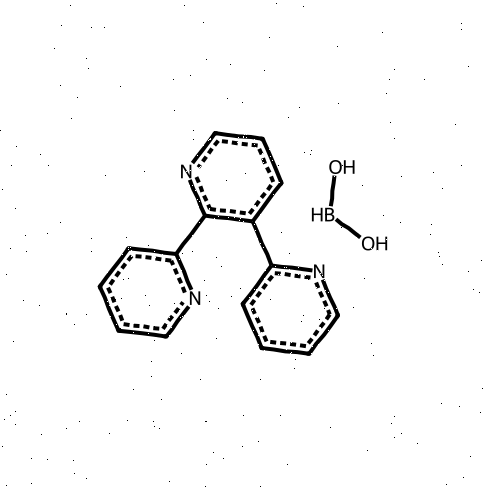 OBO.c1ccc(-c2cccnc2-c2ccccn2)nc1